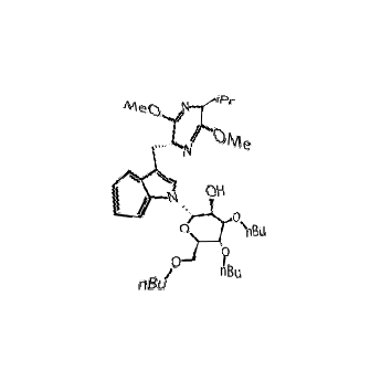 CCCCOC[C@H]1O[C@H](n2cc(C[C@H]3N=C(OC)[C@H](C(C)C)N=C3OC)c3ccccc32)[C@@H](O)[C@@H](OCCCC)[C@@H]1OCCCC